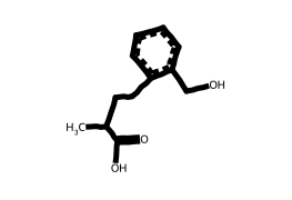 CC(CCc1ccccc1CO)C(=O)O